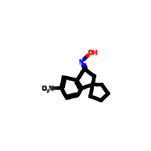 O=[N+]([O-])c1ccc2c(c1)/C(=N/O)CC21CCCC1